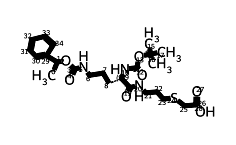 CC(OC(=O)NCCC[C@H](NC(=O)OC(C)(C)C)C(=O)NCCCSCC(=O)O)c1ccccc1